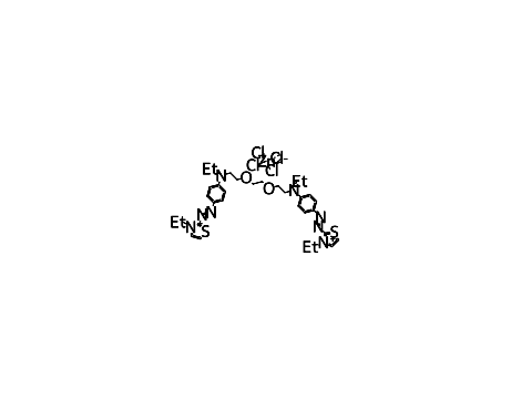 CCN(CCOCCOCCN(CC)c1ccc(N=Nc2scc[n+]2CC)cc1)c1ccc(N=Nc2scc[n+]2CC)cc1.[Cl][Zn-2]([Cl])([Cl])[Cl]